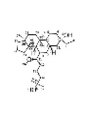 CC[C@]1(O)CC[C@@]2(C)[C@@H](CC([C@@H](CCCC(C)(C)O)OC)[C@@H]3[C@@H]4CCC[C@@]4(C)CC[C@@H]32)C1